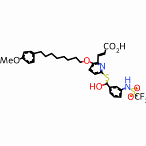 COc1ccc(CCCCCCCCOc2ccc(SC(O)c3cccc(NS(=O)(=O)C(F)(F)F)c3)nc2C=CC(=O)O)cc1